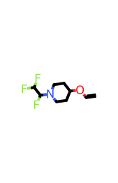 C=COC1CCN(C(F)C(F)F)CC1